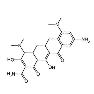 CN(C)c1cc(N)cc2c1CC1CC3C(C(=O)C(C(N)=O)=C(O)C3N(C)C)C(O)=C1C2=O